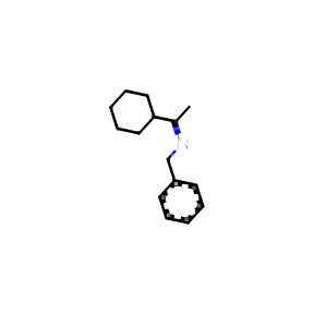 CC(=NCc1ccccc1)C1CCCCC1